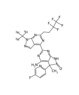 [2H]C([2H])([2H])n1ncc2c(-c3nc(N)c4c(n3)NC(=O)C4(C)c3ccc(F)cn3)nc(CCC(F)(F)C(F)(F)F)nc21